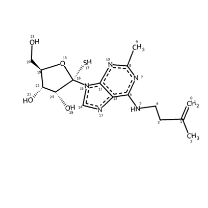 C=C(C)CCNc1nc(C)nc2c1ncn2[C@]1(S)O[C@H](CO)[C@@H](O)[C@H]1O